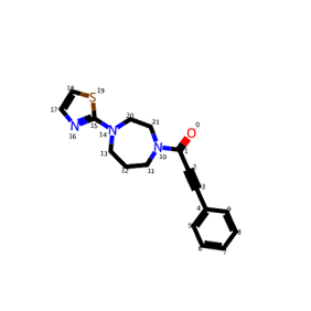 O=C(C#Cc1ccccc1)N1CCCN(c2nccs2)CC1